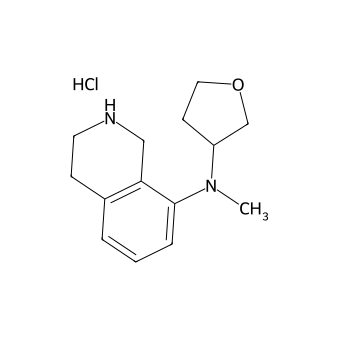 CN(c1cccc2c1CNCC2)C1CCOC1.Cl